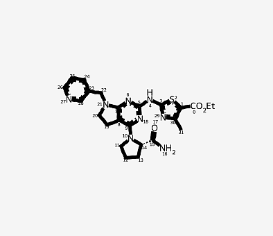 CCOC(=O)c1sc(Nc2nc3c(c(N4CCC[C@H]4C(N)=O)n2)CCN3Cc2cccnc2)nc1C